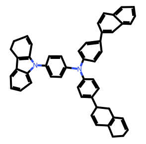 C1=CC2=C(C=CC(c3ccc(N(c4ccc(-c5ccc6ccccc6c5)cc4)c4ccc(-n5c6c(c7ccccc75)CCC=C6)cc4)cc3)C2)CC1